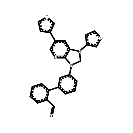 O=Cc1ccccc1-c1cccc(N2CN(c3ccoc3)c3cc(-c4ccoc4)cnc32)c1